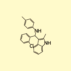 Cc1ccc(NC(c2ccccc2Cl)c2c(C)[nH]c3ccccc23)cc1